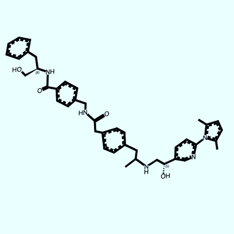 Cc1ccc(C)n1-c1ccc([C@H](O)CNC(C)Cc2ccc(CC(=O)NCc3ccc(C(=O)N[C@@H](CO)Cc4ccccc4)cc3)cc2)cn1